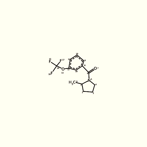 CC1CCCN1C(=O)c1cccc(OC(F)(F)F)c1